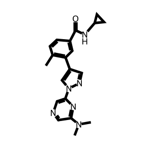 Cc1ccc(C(=O)NC2CC2)cc1-c1cnn(-c2cncc(N(C)C)n2)c1